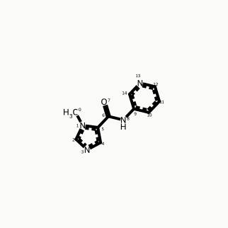 Cn1cncc1C(=O)Nc1cccnc1